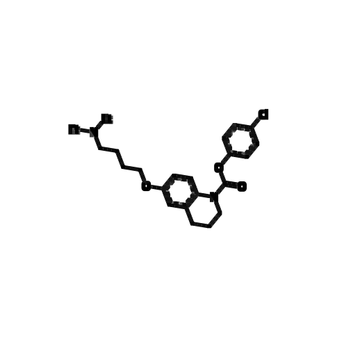 CCN(CC)CCCCOc1ccc2c(c1)CCCN2C(=O)Oc1ccc(Cl)cc1